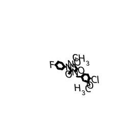 COc1cc(Cn2c(=O)c(OC)nn(-c3ccc(F)cc3)c2=O)ccc1Cl